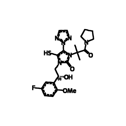 COc1ccc(F)cc1[C@@H](O)Cn1c(S)c(-n2nccn2)n(C(C)(C)C(=O)N2CCCC2)c1=O